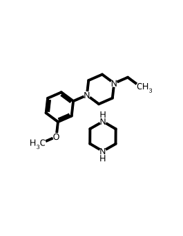 C1CNCCN1.CCN1CCN(c2cccc(OC)c2)CC1